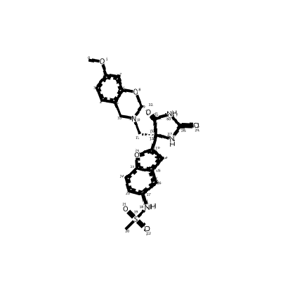 COc1ccc2c(c1)OCN(C[C@@]1(c3cc4cc(NS(C)(=O)=O)ccc4o3)NC(=O)NC1=O)C2